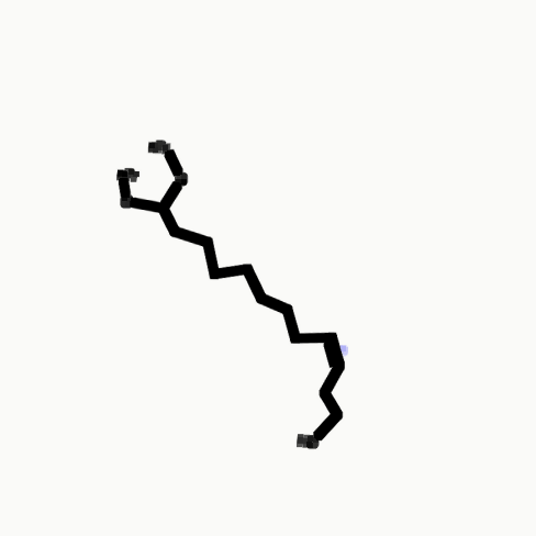 CCCOC(CCCCCCC/C=C\CCO)OCCC